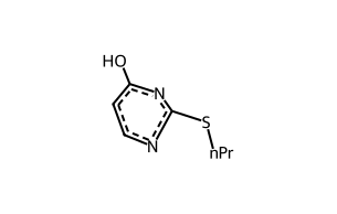 CCCSc1nccc(O)n1